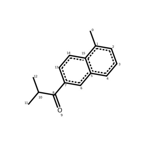 Cc1cccc2cc(C(=O)C(C)C)ccc12